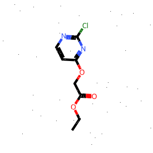 CCOC(=O)COc1ccnc(Cl)n1